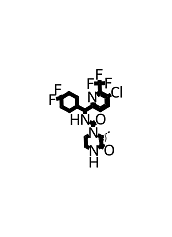 C[C@@H]1C(=O)NCCN1C(=O)NC(c1ccc(Cl)c(C(F)(F)F)n1)C1CCC(F)(F)CC1